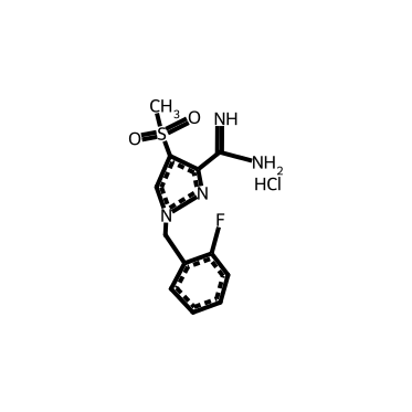 CS(=O)(=O)c1cn(Cc2ccccc2F)nc1C(=N)N.Cl